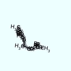 CCOc1ccc(OCC2CCC(OCCCCC(C)CCCCOC3CCC(COc4ccc(OCC)c(F)c4C(F)(F)F)CC3)CC2)c(C(F)(F)F)c1F